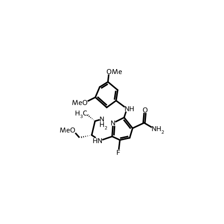 COC[C@@H](Nc1nc(Nc2cc(OC)cc(OC)c2)c(C(N)=O)cc1F)[C@H](C)N